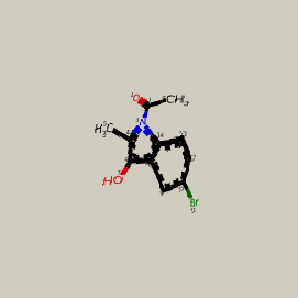 CC(=O)n1c(C)c(O)c2cc(Br)ccc21